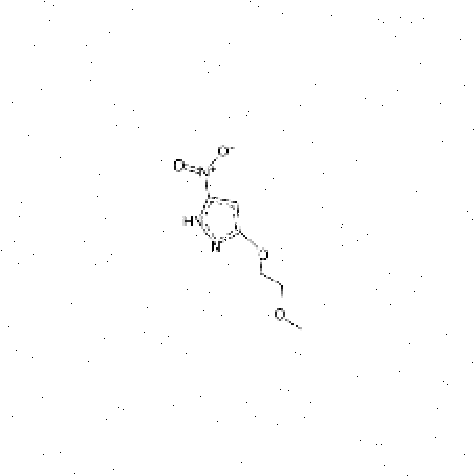 COCCOc1cc([N+](=O)[O-])[nH]n1